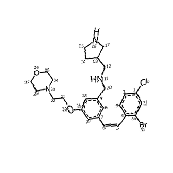 Clc1ccc(/C=C\c2cc(CNCC3CCNC3)cc(OCCN3CCOCC3)c2)c(Br)c1